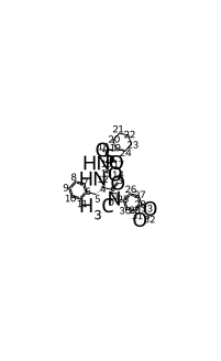 CN(C(=O)[C@H](Cc1ccccc1)NC(=O)NS(=O)(=O)C1CCCCC1)c1ccc2c(c1)OCO2